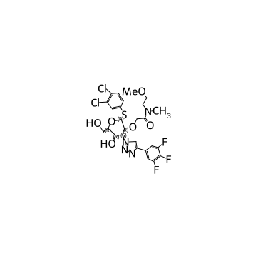 COCCN(C)C(=O)CO[C@@H]1[C@@H](n2cc(-c3cc(F)c(F)c(F)c3)nn2)[C@@H](O)[C@@H](CO)O[C@@H]1Sc1ccc(Cl)c(Cl)c1